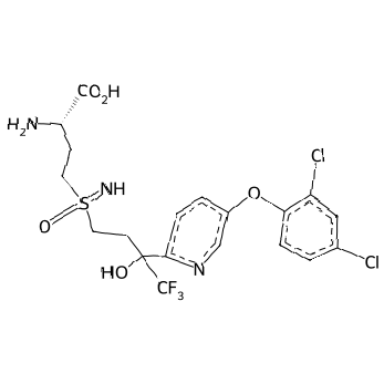 N=S(=O)(CC[C@H](N)C(=O)O)CCC(O)(c1ccc(Oc2ccc(Cl)cc2Cl)cn1)C(F)(F)F